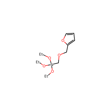 CCO[Si](COCc1ccco1)(OCC)OCC